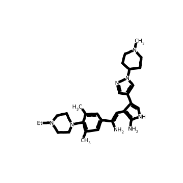 CCN1CCN(c2c(C)cc(/C(N)=C/c3c(-c4cnn(C5CCN(C)CC5)c4)c[nH]c3N)cc2C)CC1